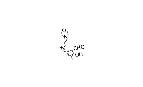 Cc1cc(CN(C)CCCN2CCOCC2)cc(C=O)c1O